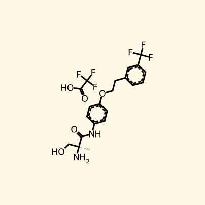 C[C@](N)(CO)C(=O)Nc1ccc(OCCc2cccc(C(F)(F)F)c2)cc1.O=C(O)C(F)(F)F